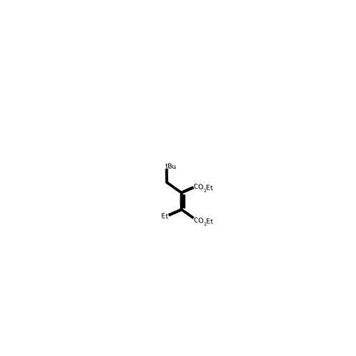 CCOC(=O)/C(CC)=C(/CC(C)(C)C)C(=O)OCC